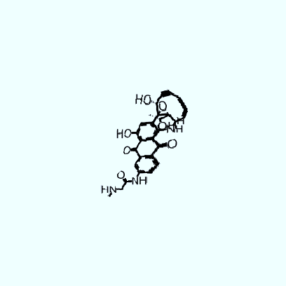 CNCC(=O)Nc1ccc2c(c1)C(=O)c1c(O)cc3c(c1C2=O)N[C@H]1C=C=CC#C[C@@H](O)[C@@]32O[C@@]12[C@@H](C)O